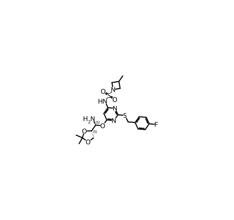 CC1CN(S(=O)(=O)Nc2cc(O[C@H](N)[C@@H]3COC(C)(C)O3)nc(SCc3ccc(F)cc3)n2)C1